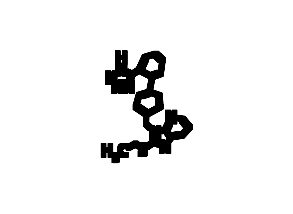 CCSc1nc2cccnc2n1Cc1ccc(-c2ccccc2-c2nnn[nH]2)cc1